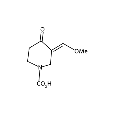 COC=C1CN(C(=O)O)CCC1=O